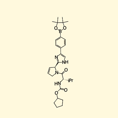 CC(C)[C@H](NC(=O)OC1CCCC1)C(=O)N1CC=C[C@H]1c1nc(-c2ccc(B3OC(C)(C)C(C)(C)O3)cc2)c[nH]1